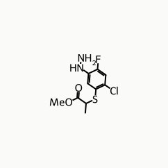 COC(=O)C(C)Sc1cc(NN)c(F)cc1Cl